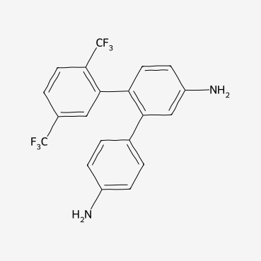 Nc1ccc(-c2cc(N)ccc2-c2cc(C(F)(F)F)ccc2C(F)(F)F)cc1